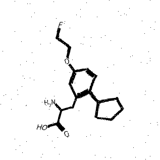 NC(Cc1cc(OCCF)ccc1C1CCCC1)C(=O)O